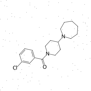 O=C(c1cccc(Cl)c1)N1CCC(N2CCCCCC2)CC1